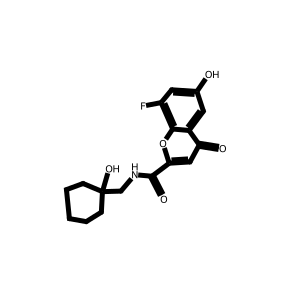 O=C(NCC1(O)CCCCC1)c1cc(=O)c2cc(O)cc(F)c2o1